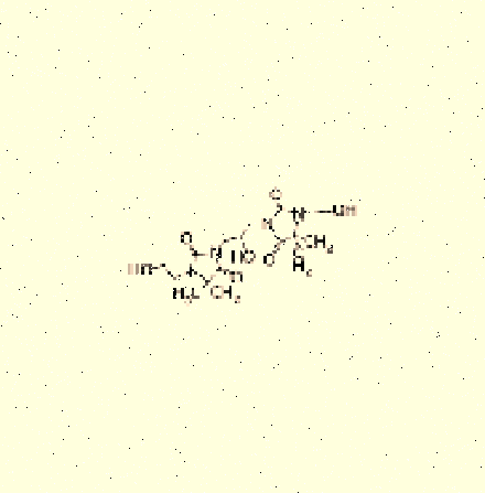 CC1(C)C(=O)N(CC(O)CN2C(=O)N(CCO)C(C)(C)C2=O)C(=O)N1CCO